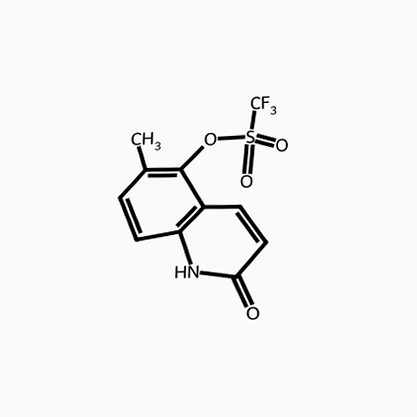 Cc1ccc2[nH]c(=O)ccc2c1OS(=O)(=O)C(F)(F)F